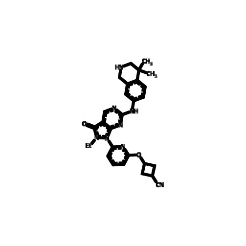 CCn1c(=O)c2cnc(Nc3ccc4c(c3)CNCC4(C)C)nc2n1-c1cccc(OC2CC(C#N)C2)n1